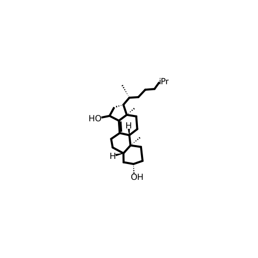 CC(C)CCC[C@@H](C)[C@H]1CC(O)C2=C3CC[C@H]4C[C@@H](O)CC[C@]4(C)[C@H]3CC[C@@]21C